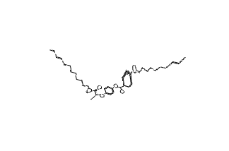 CCCCCCCCCCCCOC(=O)[C@H](C)Oc1ccc(OC(=O)c2ccc(OCCCCCCCCCC)cc2)cc1